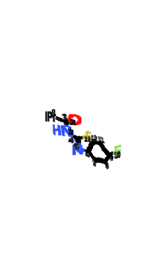 CC(C)C(=O)Nc1nc2ccc(F)cc2s1